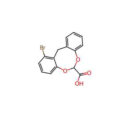 O=C(O)C1Oc2ccccc2Cc2c(Br)cccc2O1